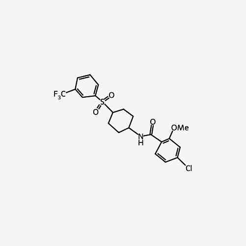 COc1cc(Cl)ccc1C(=O)NC1CCC(S(=O)(=O)c2cccc(C(F)(F)F)c2)CC1